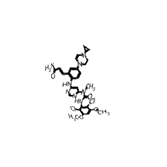 COc1cc(OC)c(Cl)c(NC(=O)N(C)c2cc(Nc3ccc(N4CCN(C5CC5)CC4)cc3C=CC(N)=O)ncn2)c1Cl